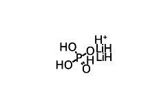 O=P(O)(O)O.[H+].[LiH].[LiH]